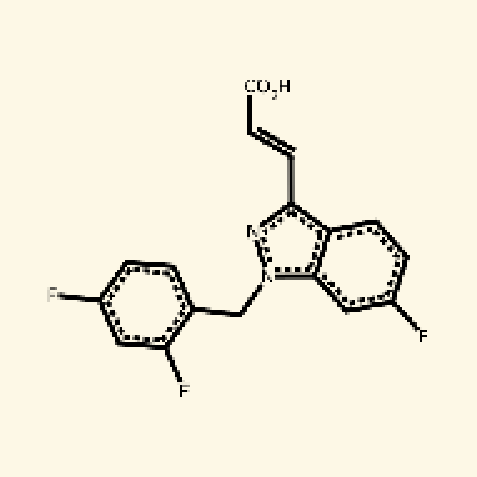 O=C(O)C=Cc1nn(Cc2ccc(F)cc2F)c2cc(F)ccc12